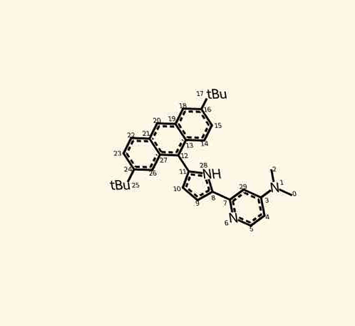 CN(C)c1ccnc(-c2ccc(-c3c4ccc(C(C)(C)C)cc4cc4ccc(C(C)(C)C)cc34)[nH]2)c1